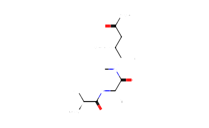 CC[C@H](C)[C@@H]([C@@H](CC(=O)NC)OC)N(C)C(=O)[C@@H](NC(=O)[C@@H](NC)C(C)C)C(C)C